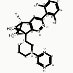 CC1(C)[C@H]2CC[C@]1([C@H]1CCCN(c3cnccn3)C1)c1nnc(-c3c(F)cccc3F)cc12